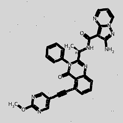 COc1ncc(C#Cc2cccc3nc([C@@H](C)NC(=O)c4c(N)nn5cccnc45)n(-c4ccccc4)c(=O)c23)cn1